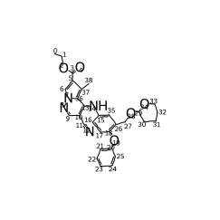 CCOC(=O)c1cn2ncc(C#N)c(Nc3ccc(Oc4ccccc4)c(COC4CCCCO4)c3)c2c1C